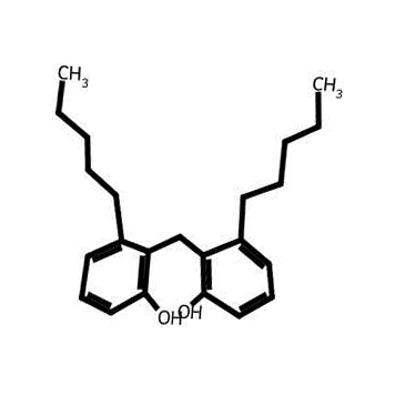 CCCCCc1cccc(O)c1Cc1c(O)cccc1CCCCC